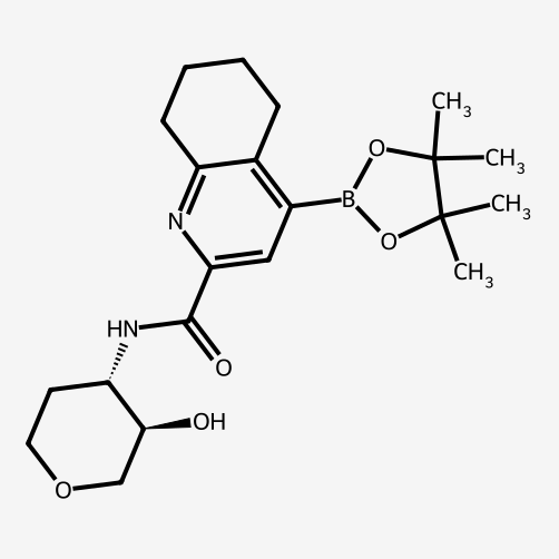 CC1(C)OB(c2cc(C(=O)N[C@H]3CCOC[C@@H]3O)nc3c2CCCC3)OC1(C)C